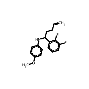 C=CCCC(Nc1ccc(OC)cc1)c1cccc(F)c1Br